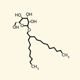 CCCCCCCCCCC(CCCCCCCC)COC1O[C@H](CO)[C@@H](O)[C@H](O)[C@@H]1O